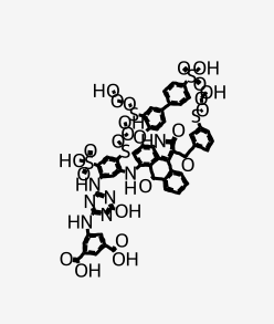 O=C(O)c1cc(Nc2nc(O)nc(Nc3cc(Nc4cc(Oc5ccc(-c6ccc(S(=O)(=O)O)cc6)cc5SOOO)c5[nH]c(=O)c(C(=O)c6cccc(SOOO)c6)c6c5c4C(=O)c4ccccc4-6)c(SOOO)cc3S(=O)(=O)O)n2)cc(C(=O)O)c1